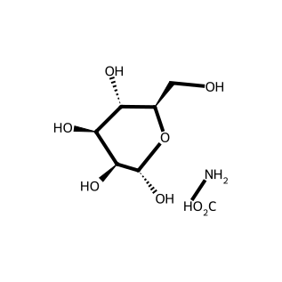 NC(=O)O.OC[C@H]1O[C@H](O)[C@@H](O)[C@@H](O)[C@@H]1O